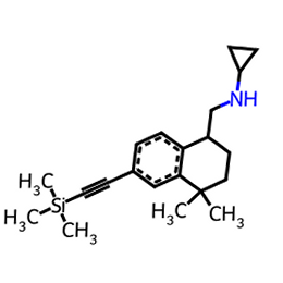 CC1(C)CCC(CNC2CC2)c2ccc(C#C[Si](C)(C)C)cc21